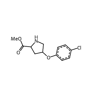 COC(=O)C1CC(Oc2ccc(Cl)cc2)CN1